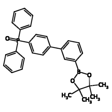 CC1(C)OB(c2cccc(-c3ccc(P(=O)(c4ccccc4)c4ccccc4)cc3)c2)OC1(C)C